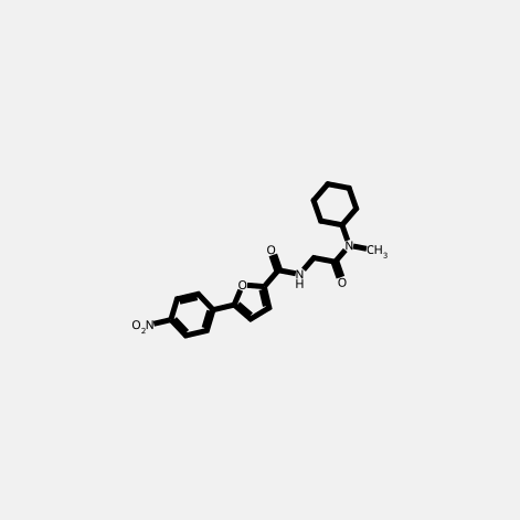 CN(C(=O)CNC(=O)c1ccc(-c2ccc([N+](=O)[O-])cc2)o1)C1CCCCC1